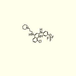 FC(F)(F)Oc1ccc(NC2C=C(NCCCN3CCCCC3)c3cccc(Cl)c3N2)cc1